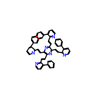 C(=Cc1nc(C=Cc2ncccc2-c2ccccc2)c(C=Cc2ncccc2-c2ccccc2)nc1C=Cc1ncccc1-c1ccccc1)c1ncccc1-c1ccccc1